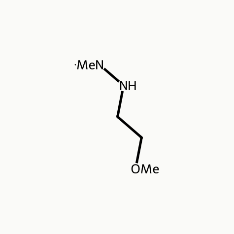 C[N]NCCOC